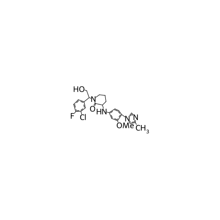 COc1cc(NC2CCCN(C(CO)c3ccc(F)c(Cl)c3)C2=O)ccc1-n1cnc(C)c1